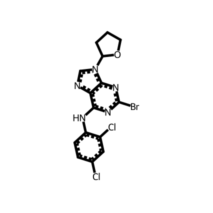 Clc1ccc(Nc2nc(Br)nc3c2ncn3C2CCCO2)c(Cl)c1